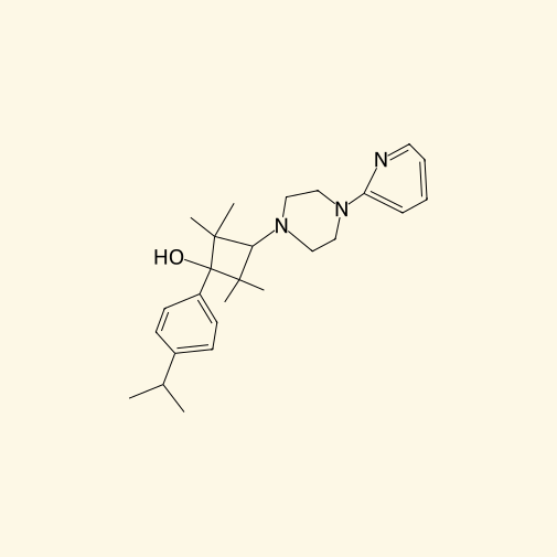 CC(C)c1ccc(C2(O)C(C)(C)C(N3CCN(c4ccccn4)CC3)C2(C)C)cc1